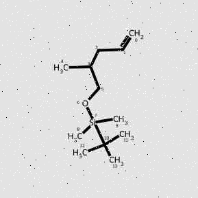 C=CCC(C)CO[Si](C)(C)C(C)(C)C